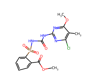 COC(=O)c1ccccc1S(=O)(=O)NC(=O)Nc1nc(Cl)c(C)c(OC)n1